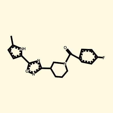 Cc1ccc(-c2nc(C3CCCN(C(=O)c4ccc(F)cc4)C3)no2)[nH]1